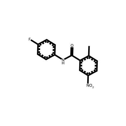 Cc1ccc([N+](=O)[O-])cc1C(=O)Nc1ccc(F)cc1